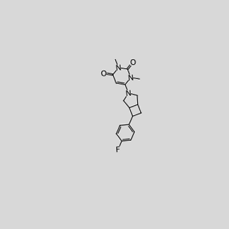 Cn1c(N2CC3CC(c4ccc(F)cc4)C3C2)cc(=O)n(C)c1=O